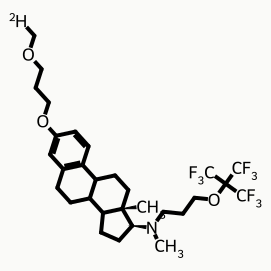 [2H]COCCCOc1ccc2c(c1)CCC1C2CC[C@@]2(C)C1CC[C@@H]2N(C)CCCOC(C(F)(F)F)(C(F)(F)F)C(F)(F)F